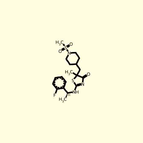 C[C@H](NC1=NC(=O)C(C)(CC2CCN(S(C)(=O)=O)CC2)S1)c1ccccc1F